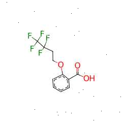 O=C(O)c1ccccc1OCCC(F)(F)C(F)(F)F